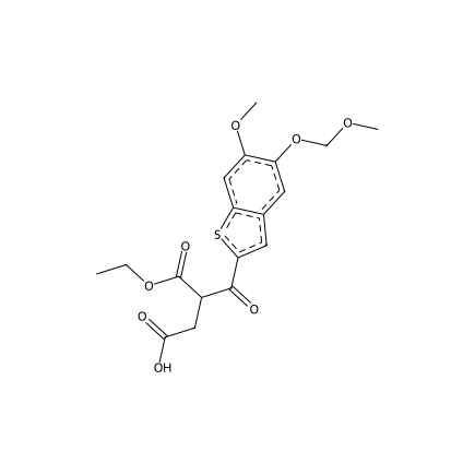 CCOC(=O)C(CC(=O)O)C(=O)c1cc2cc(OCOC)c(OC)cc2s1